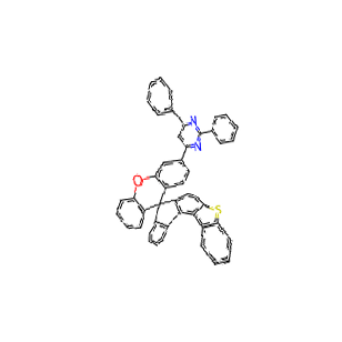 c1ccc(-c2cc(-c3ccc4c(c3)Oc3ccccc3C43c4ccccc4-c4c3ccc3sc5ccccc5c43)nc(-c3ccccc3)n2)cc1